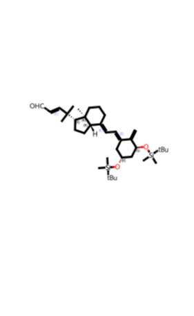 C=C1/C(=C/C=C2\CCC[C@]3(C)[C@@H](C(C)(C)/C=C/C=O)CC[C@@H]23)C[C@@H](O[Si](C)(C)C(C)(C)C)C[C@@H]1O[Si](C)(C)C(C)(C)C